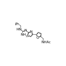 CC(=O)NCc1ccc(-c2csc(/N=C(\N)NCC(C)C)n2)o1